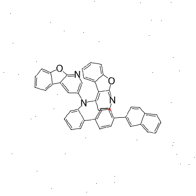 c1ccc(N(c2cnc3oc4ccccc4c3c2)c2ccnc3oc4ccccc4c23)c(-c2ccc(-c3ccc4ccccc4c3)cc2)c1